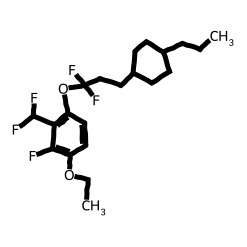 CCCC1CCC(CCC(F)(F)Oc2ccc(OCC)c(F)c2C(F)F)CC1